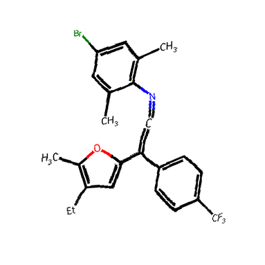 CCc1cc(C(=C=Nc2c(C)cc(Br)cc2C)c2ccc(C(F)(F)F)cc2)oc1C